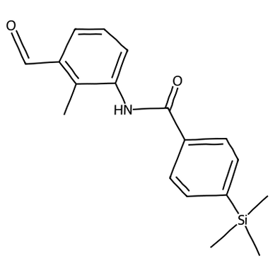 Cc1c(C=O)cccc1NC(=O)c1ccc([Si](C)(C)C)cc1